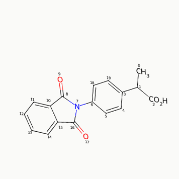 CC(C(=O)O)c1ccc(N2C(=O)c3ccccc3C2=O)cc1